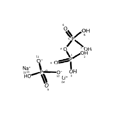 O=P(O)(O)OP(=O)(O)O.O=P([O-])([O-])O.[Li+].[Na+]